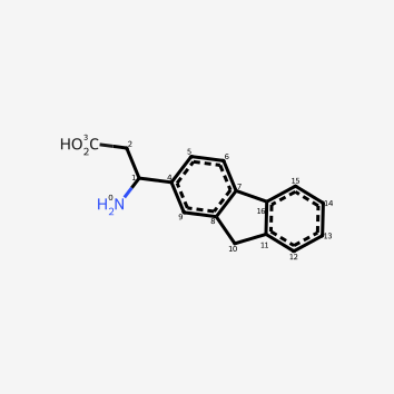 NC(CC(=O)O)c1ccc2c(c1)Cc1ccccc1-2